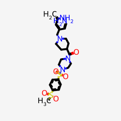 C=C(N)/C=C(\C=C/N)CN1CCC(C(=O)N2CCN(S(=O)(=O)c3ccc(S(C)(=O)=O)cc3)CC2)CC1